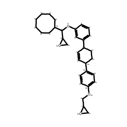 C1=CC(c2cccc(OC(C3CCCCCCC3)C3CO3)c2)CCC1c1ccc(OCC2CO2)cc1